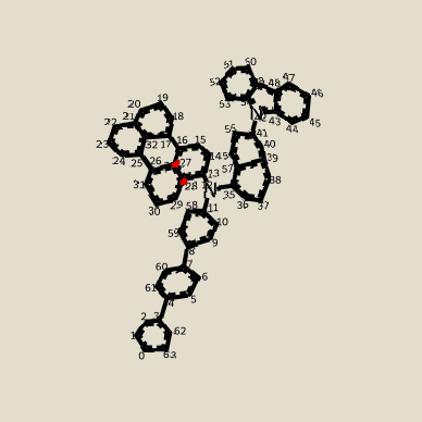 c1ccc(-c2ccc(-c3ccc(N(c4ccc(-c5cccc6cccc(-c7ccccc7)c56)cc4)c4cccc5cc(-n6c7ccccc7c7ccccc76)ccc45)cc3)cc2)cc1